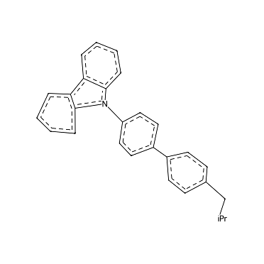 CC(C)Cc1ccc(-c2ccc(-n3c4ccccc4c4ccccc43)cc2)cc1